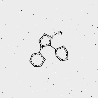 CC(C)[n+]1ccn(-c2ccccc2)c1-c1ccccc1